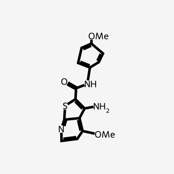 COc1ccc(NC(=O)c2sc3nccc(OC)c3c2N)cc1